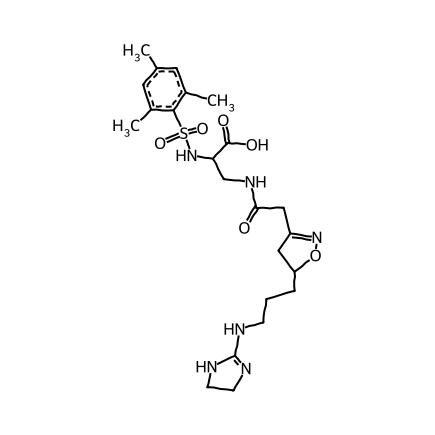 Cc1cc(C)c(S(=O)(=O)NC(CNC(=O)CC2=NOC(CCCNC3=NCCN3)C2)C(=O)O)c(C)c1